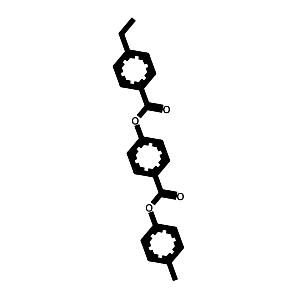 CCc1ccc(C(=O)Oc2ccc(C(=O)Oc3ccc(C)cc3)cc2)cc1